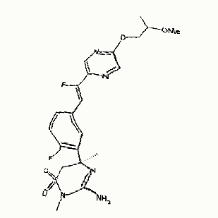 COC(C)COc1cnc(/C(F)=C/c2ccc(F)c([C@]3(C)CS(=O)(=O)N(C)C(N)=N3)c2)cn1